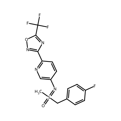 CS(=O)(Cc1ccc(F)cc1)=Nc1ccc(-c2noc(C(F)(F)F)n2)nc1